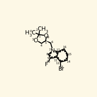 CC1(C)OC[C@H](Cn2cc(F)c3c(Br)cccc32)O1